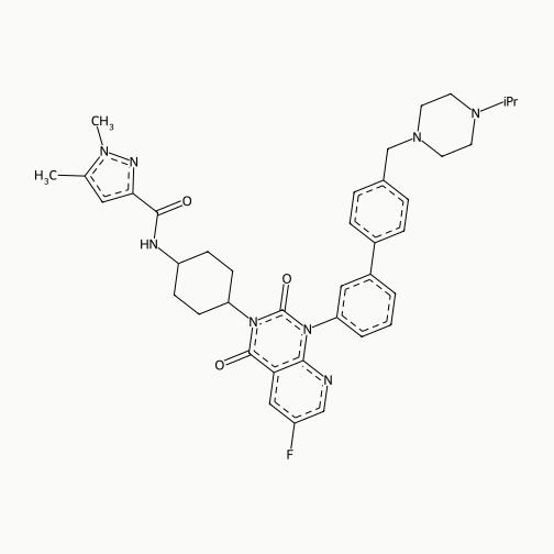 Cc1cc(C(=O)NC2CCC(n3c(=O)c4cc(F)cnc4n(-c4cccc(-c5ccc(CN6CCN(C(C)C)CC6)cc5)c4)c3=O)CC2)nn1C